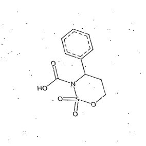 O=C(O)N1C(c2ccccc2)CCOS1(=O)=O